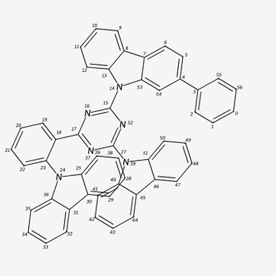 c1ccc(-c2ccc3c4ccccc4n(-c4nc(-c5ccccc5-n5c6ccccc6c6ccccc65)nc(-n5c6ccccc6c6ccccc65)n4)c3c2)cc1